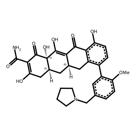 COc1ccc(CN2CCCC2)cc1-c1ccc(O)c2c1C[C@H]1C[C@H]3CC(O)=C(C(N)=O)C(=O)[C@@]3(O)C(O)=C1C2=O